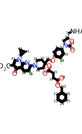 CC(=O)NC[C@H]1CN(c2ccc(OCC3(OC(=O)CCC(=O)OCc4ccccc4)CCN(c4nc5c(cc4F)c(=O)c(C(=O)O)cn5C4CC4)CC3)c(F)c2)C(=O)O1